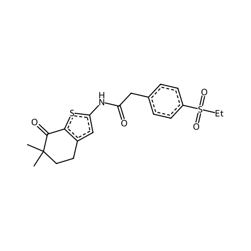 CCS(=O)(=O)c1ccc(CC(=O)Nc2cc3c(s2)C(=O)C(C)(C)CC3)cc1